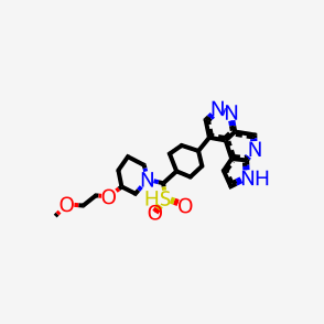 COCCOC1CCCN(C(C2CCC(c3cnnc4cnc5[nH]ccc5c34)CC2)[SH](=O)=O)C1